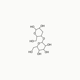 OCC1OC(O)C(O)CC1OC1OC(CO)C(O)C(O)C1O